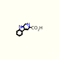 O=C(O)C1=NCC2=Nc3ccccc3C2=C1